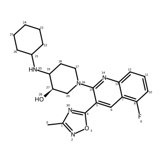 Cc1noc(-c2cc3c(F)cccc3nc2N2CCC(NC3CCCCC3)[C@H](O)C2)n1